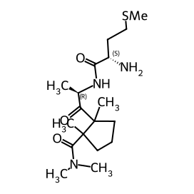 CSCC[C@H](N)C(=O)N[C@H](C)C(=O)C1(C)CCCC1(C)C(=O)N(C)C